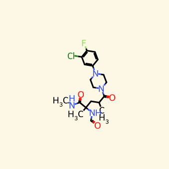 CNC(=O)C(C)(CC(C)C(=O)N1CCN(c2ccc(F)c(Cl)c2)CC1)NC=O